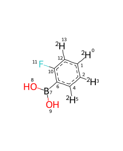 [2H]c1c([2H])c([2H])c(B(O)O)c(F)c1[2H]